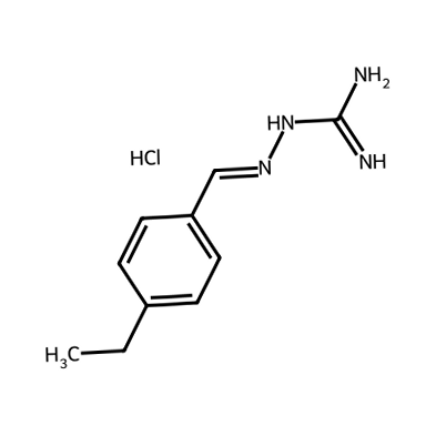 CCc1ccc(/C=N/NC(=N)N)cc1.Cl